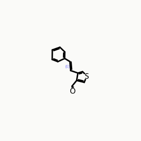 O=Cc1cscc1/C=C/c1ccccc1